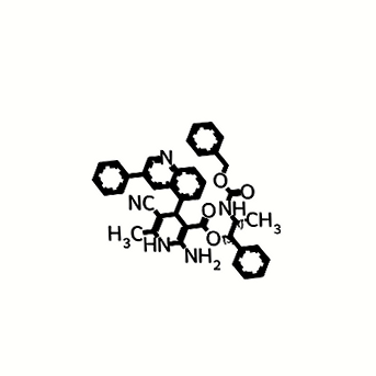 CC1=C(C#N)C(c2cccc3ncc(-c4ccccc4)cc23)C(C(=O)O[C@@H](c2ccccc2)[C@@H](C)NC(=O)OCc2ccccc2)=C(N)N1